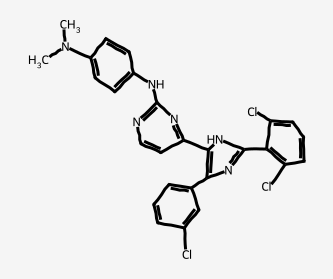 CN(C)c1ccc(Nc2nccc(-c3[nH]c(-c4c(Cl)cccc4Cl)nc3-c3cccc(Cl)c3)n2)cc1